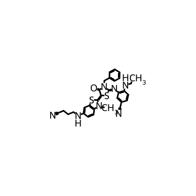 CCNc1ccc(C#N)cc1N=C1SC(=C2Sc3cc(NCCCC#N)ccc3N2C)C(=O)N1Cc1ccccc1